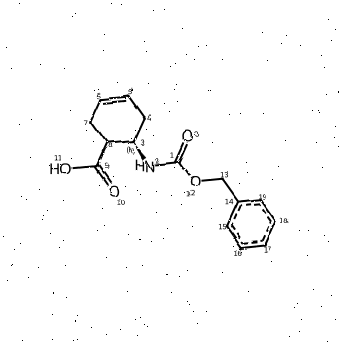 O=C(N[C@@H]1CC=CCC1C(=O)O)OCc1ccccc1